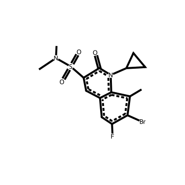 Cc1c(Br)c(F)cc2cc(S(=O)(=O)N(C)C)c(=O)n(C3CC3)c12